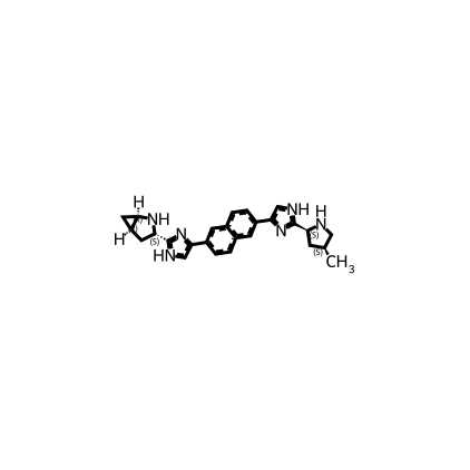 C[C@@H]1CN[C@H](c2nc(-c3ccc4cc(-c5c[nH]c([C@@H]6C[C@H]7C[C@H]7N6)n5)ccc4c3)c[nH]2)C1